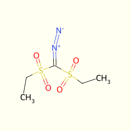 CCS(=O)(=O)C(=[N+]=[N-])S(=O)(=O)CC